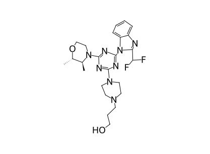 C[C@@H]1OCCN(c2nc(N3CCN(CCCO)CC3)nc(-n3c(C(F)F)nc4ccccc43)n2)[C@H]1C